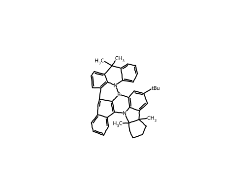 CC(C)(C)c1cc2c3c(c1)C1(C)CCCCC1(C)N3c1c3c(cc4ccccc14)-c1cccc4c1N(B23)c1ccccc1C4(C)C